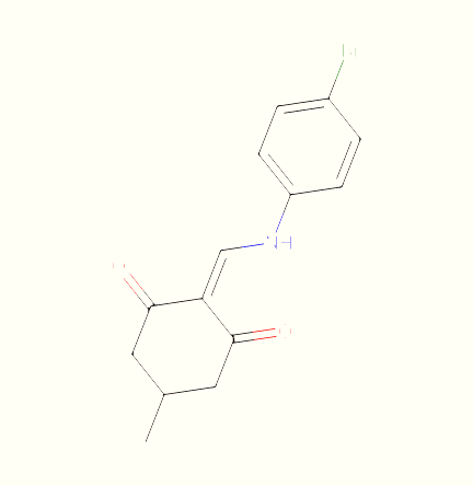 CC1CC(=O)C(=CNc2ccc(Br)cc2)C(=O)C1